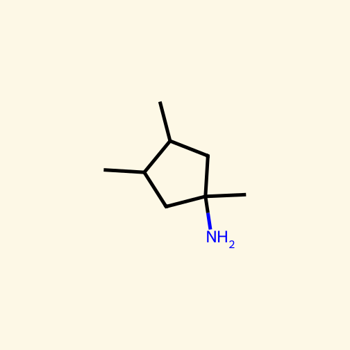 CC1CC(C)(N)CC1C